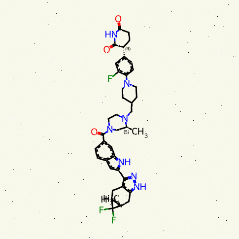 C[C@H]1CN(C(=O)c2ccc3cc(-c4n[nH]c5c4C[C@@H]4C(F)(F)[C@]4(C)C5)[nH]c3c2)CCN1CC1CCN(c2ccc([C@H]3CCC(=O)NC3=O)cc2F)CC1